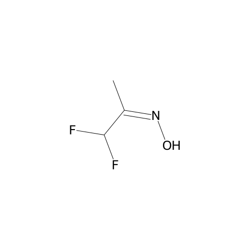 CC(=NO)C(F)F